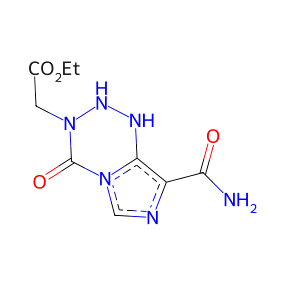 CCOC(=O)CN1NNc2c(C(N)=O)ncn2C1=O